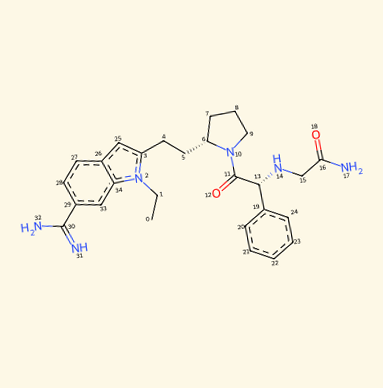 CCn1c(CC[C@@H]2CCCN2C(=O)[C@H](NCC(N)=O)c2ccccc2)cc2ccc(C(=N)N)cc21